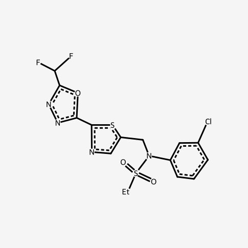 CCS(=O)(=O)N(Cc1cnc(-c2nnc(C(F)F)o2)s1)c1cccc(Cl)c1